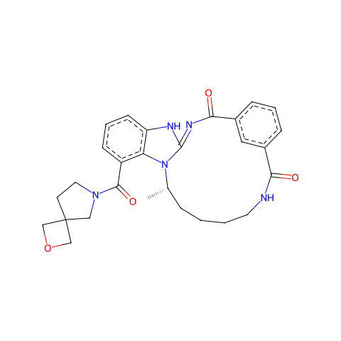 C[C@H]1CCCCNC(=O)c2cccc(c2)C(=O)/N=C2\Nc3cccc(C(=O)N4CCC5(COC5)C4)c3N21